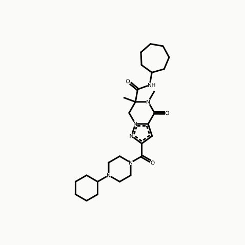 CN1C(=O)c2cc(C(=O)N3CCN(C4CCCCC4)CC3)nn2CC1(C)C(=O)NC1CCCCCC1